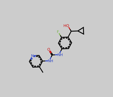 Cc1ccncc1NC(=O)Nc1ccc(C(O)C2CC2)c(F)c1